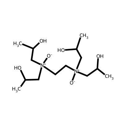 CC(O)C[N+]([O-])(CC[N+]([O-])(CC(C)O)CC(C)O)CC(C)O